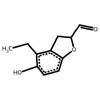 CCc1c(O)ccc2c1CC(C=O)O2